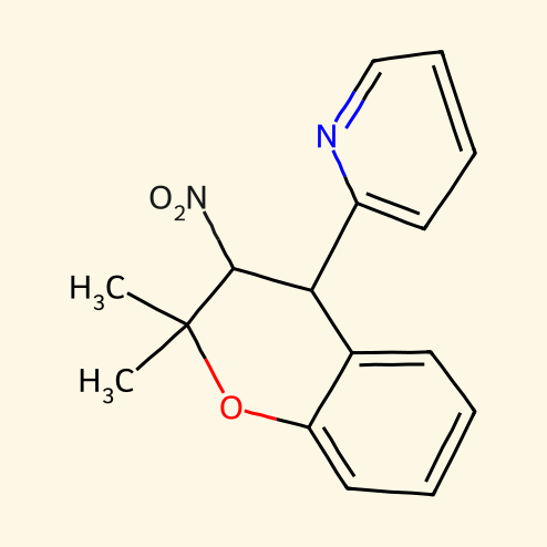 CC1(C)Oc2ccccc2C(c2ccccn2)C1[N+](=O)[O-]